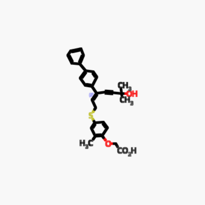 Cc1cc(SC/C=C(\C#CC(C)(C)O)c2ccc(-c3ccccc3)cc2)ccc1OCC(=O)O